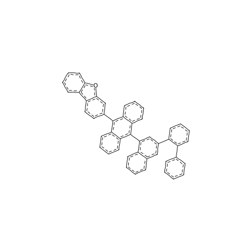 c1ccc(-c2ccccc2-c2cc(-c3c4ccccc4c(-c4ccc5c(c4)oc4ccccc45)c4ccccc34)c3ccccc3c2)cc1